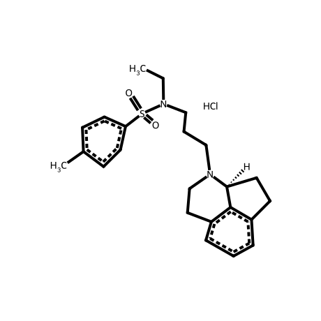 CCN(CCCN1CCc2cccc3c2[C@@H]1CC3)S(=O)(=O)c1ccc(C)cc1.Cl